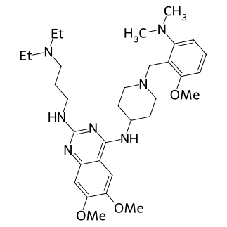 CCN(CC)CCCNc1nc(NC2CCN(Cc3c(OC)cccc3N(C)C)CC2)c2cc(OC)c(OC)cc2n1